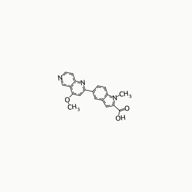 COc1cc(-c2ccc3c(c2)cc(C(=O)O)n3C)nc2ccncc12